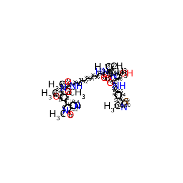 COc1cc(-c2cn(C)c(=O)c3cnccc23)cc(OC)c1CN(C)CC(=O)NCCCCCCCCCC(=O)N[C@@H](C(=O)N1C[C@@H](O)C[C@@H]1C(=O)NCc1ccc(-c2scnc2C)cc1)C(C)(C)C